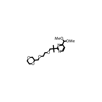 COC(OC)c1ccnc(C(C)(C)COCCOCC2COCCO2)n1